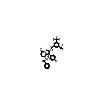 C[C@@H](O[C@H]1CN2C(=O)CCC(NC(=O)c3ccccc3)[C@@H]2[C@@H]1c1ccc(F)cc1)c1cc(C(F)(F)F)cc(C(F)(F)F)c1